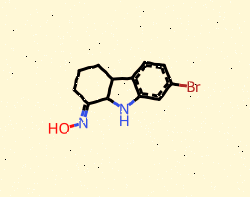 O/N=C1\CCCC2c3ccc(Br)cc3NC12